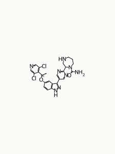 C[C@@H](Oc1ccc2[nH]nc(-c3cnc(C4CNCCCN4C(N)=O)nc3)c2c1)c1c(Cl)cncc1Cl